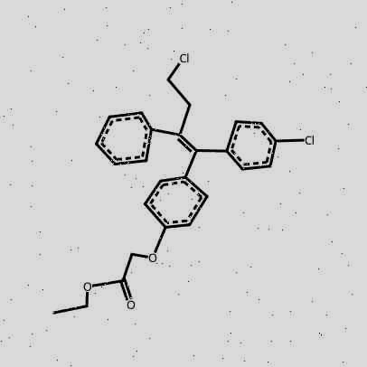 CCOC(=O)COc1ccc(C(=C(CCCl)c2ccccc2)c2ccc(Cl)cc2)cc1